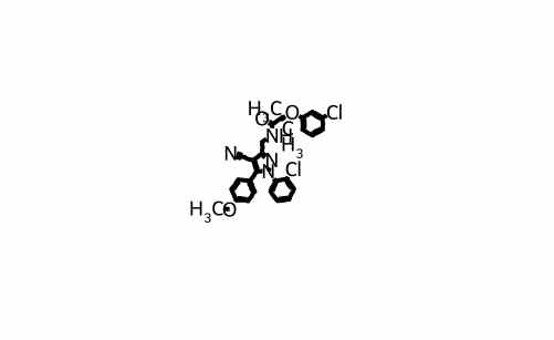 COc1ccc(-c2c(C#N)c(CNC(=O)C(C)(C)Oc3cccc(Cl)c3)nn2-c2ccccc2Cl)cc1